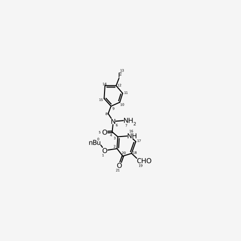 CCCCOc1c(C(=O)N(N)Cc2ccc(F)cc2)[nH]cc(C=O)c1=O